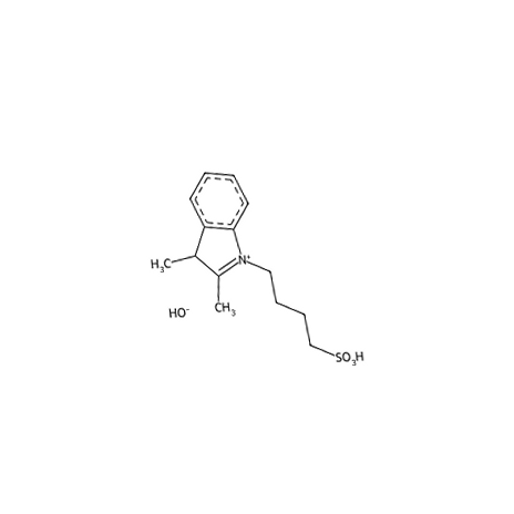 CC1=[N+](CCCCS(=O)(=O)O)c2ccccc2C1C.[OH-]